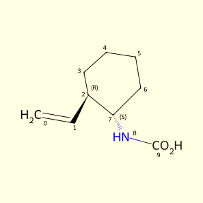 C=C[C@H]1CCCC[C@@H]1NC(=O)O